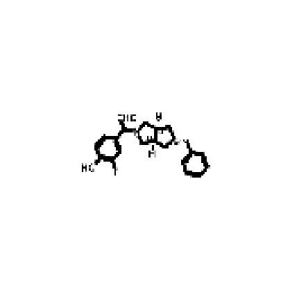 O=CC(c1ccc(O)c(F)c1)N1C[C@H]2C[C@H](Cc3ccccc3)C[C@H]2C1